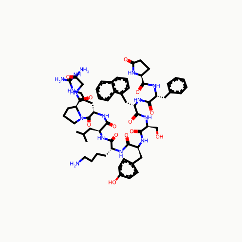 CC(C)C[C@H](NC(=O)[C@@H](CCCCN)NC(=O)[C@H](Cc1ccc(O)cc1)NC(=O)[C@H](CO)NC(=O)[C@H](Cc1cccc2ccccc12)NC(=O)[C@@H](Cc1ccccc1)NC(=O)[C@@H]1CCC(=O)N1)C(=O)N[C@@H](CCCNC(=N)N)C(=O)N1CCC[C@H]1C(=O)NCC(N)=O